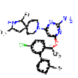 CCC1NC(C(=O)O)CC12CCN(c1cc(O[C@H](c3ccc(Cl)cc3-c3cccc(C(C)C)c3)C(F)(F)F)nc(N)n1)CC2